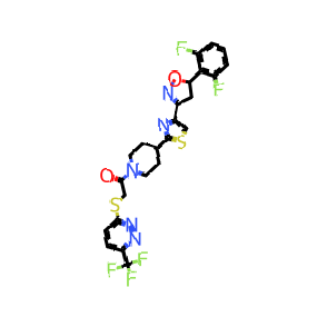 O=C(CSc1ccc(C(F)(F)F)nn1)N1CCC(c2nc(C3=NOC(c4c(F)cccc4F)C3)cs2)CC1